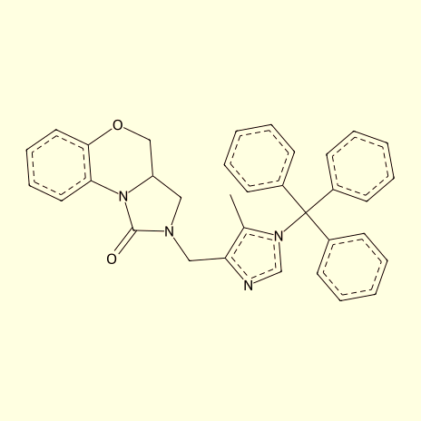 Cc1c(CN2CC3COc4ccccc4N3C2=O)ncn1C(c1ccccc1)(c1ccccc1)c1ccccc1